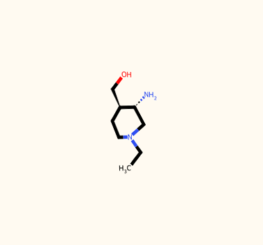 CCN1CC[C@@H](CO)[C@H](N)C1